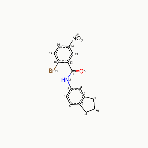 O=C(Nc1ccc2c(c1)CCC2)c1cc([N+](=O)[O-])ccc1Br